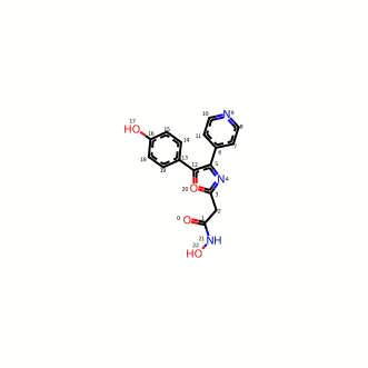 O=C(Cc1nc(-c2ccncc2)c(-c2ccc(O)cc2)o1)NO